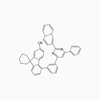 N#Cc1ccc2c(c1)C1(CCCCC1)c1cccc(-c3cccc(-c4cc(-c5ccccc5)nc(C5=CC6C=CC=CC6C=C5)n4)c3)c1-2